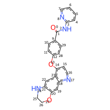 O=C(Nc1ccccn1)c1ccc(Oc2ccnc3cc4c(cc23)NCCO4)cc1